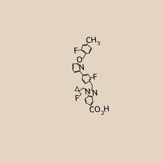 Cc1ccc(COc2cccc(-c3ccc(Cc4nc5cc(C(=O)O)ccc5n4CC4(CF)CC4)c(F)c3)n2)c(F)c1